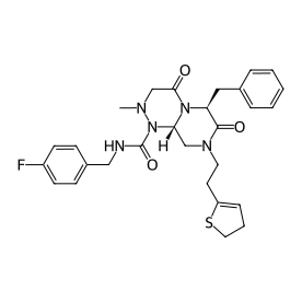 CN1CC(=O)N2[C@@H](Cc3ccccc3)C(=O)N(CCC3=CCCS3)C[C@@H]2N1C(=O)NCc1ccc(F)cc1